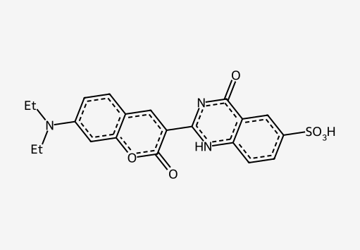 CCN(CC)c1ccc2cc(-c3nc(=O)c4cc(S(=O)(=O)O)ccc4[nH]3)c(=O)oc2c1